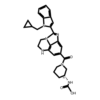 O=C(O)N[C@@H]1CCCN(C(=O)c2cc3c4c(c2)nc(-c2cc5ccccc5n2CC2CC2)n4CCN3)C1